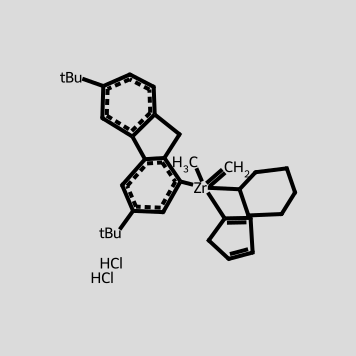 Cl.Cl.[CH2]=[Zr]([CH3])([C]1=CC=CC1)([c]1cc(C(C)(C)C)cc2c1Cc1ccc(C(C)(C)C)cc1-2)[CH]1CCCCC1